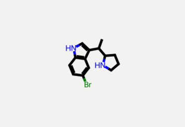 CC(c1c[nH]c2ccc(Br)cc12)C1CCCN1